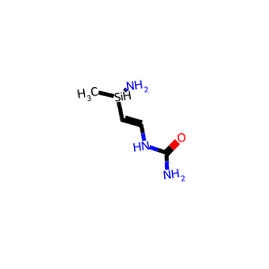 C[SiH](N)C=CNC(N)=O